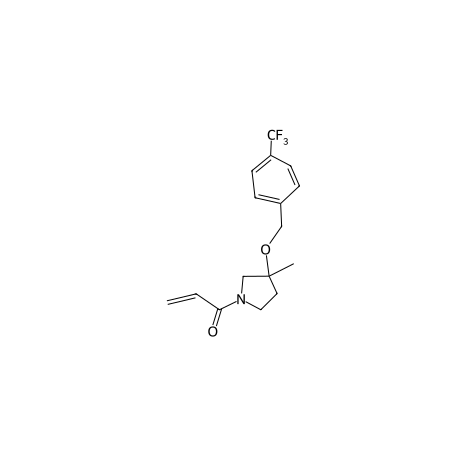 C=CC(=O)N1CCC(C)(OCc2ccc(C(F)(F)F)cc2)C1